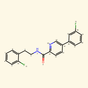 O=C(NCCc1ccccc1F)c1ccc(-c2cccc(F)c2)cn1